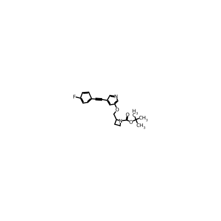 CC(C)(C)OC(=O)N1CCC1COc1cncc(C#Cc2ccc(F)cc2)c1